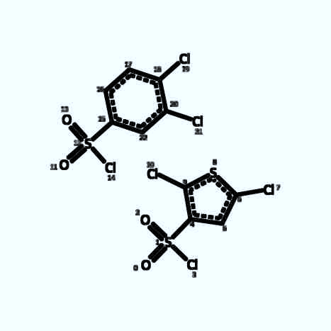 O=S(=O)(Cl)c1cc(Cl)sc1Cl.O=S(=O)(Cl)c1ccc(Cl)c(Cl)c1